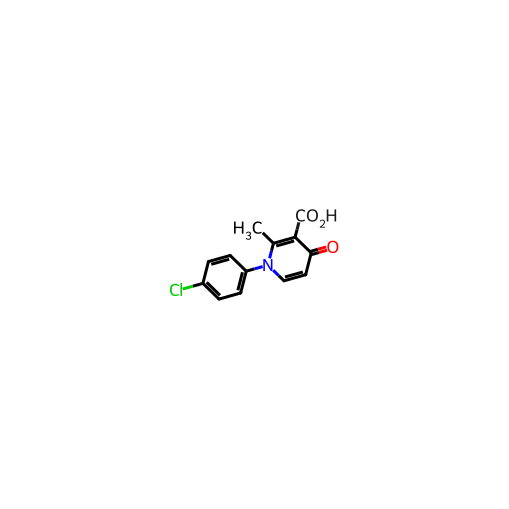 Cc1c(C(=O)O)c(=O)ccn1-c1ccc(Cl)cc1